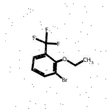 CCOc1c(Br)cccc1C(F)(F)F